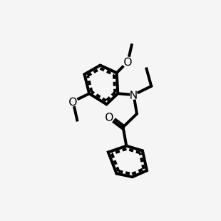 CCN(CC(=O)c1ccccc1)c1cc(OC)ccc1OC